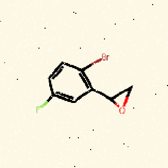 Fc1ccc(Br)c(C2CO2)c1